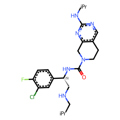 CC(C)CNC[C@@H](NC(=O)N1CCc2cnc(NC(C)C)nc2C1)c1ccc(F)c(Cl)c1